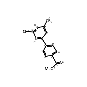 COC(=O)c1ccc(-c2cc(C(F)(F)F)nc(Cl)n2)cc1